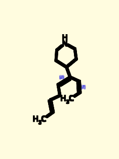 CC=CC/C=C(\C=C/C)C1CCNCC1